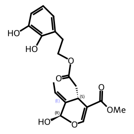 C/C=C1/[C@H](O)OC=C(C(=O)OC)[C@H]1CC(=O)OCCc1cccc(O)c1O